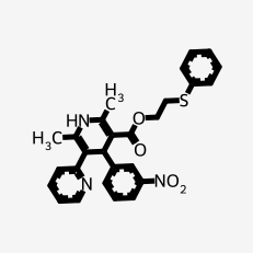 CC1=C(C(=O)OCCSc2ccccc2)C(c2cccc([N+](=O)[O-])c2)C(c2ccccn2)=C(C)N1